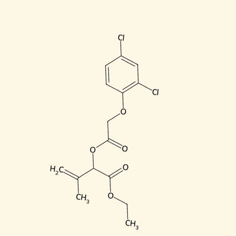 C=C(C)C(OC(=O)COc1ccc(Cl)cc1Cl)C(=O)OCC